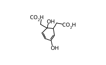 O=C(O)CC1C=C(O)C=CC1(O)CC(=O)O